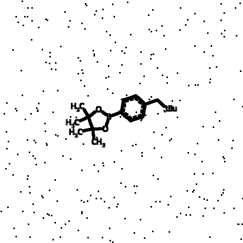 CC(C)(C)Cc1ccc(B2OC(C)(C)C(C)(C)O2)cc1